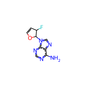 Nc1ncnc2c1ncn2C1OC=CC1F